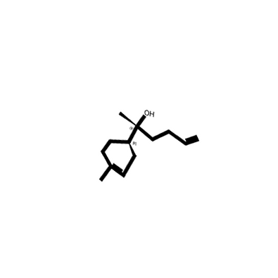 C=CCC[C@@](C)(O)[C@H]1CC=C(C)CC1